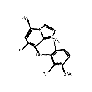 COc1ccc(C)c(Nc2c(Br)cc(C)n3cnnc23)c1C